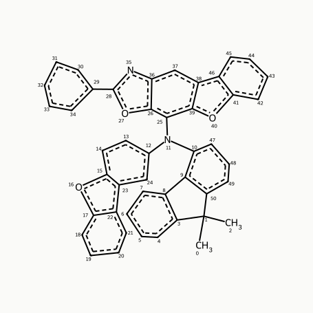 CC1(C)c2ccccc2-c2c(N(c3ccc4oc5ccccc5c4c3)c3c4oc(-c5ccccc5)nc4cc4c3oc3ccccc34)cccc21